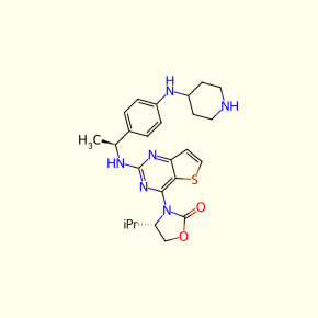 CC(C)[C@H]1COC(=O)N1c1nc(N[C@@H](C)c2ccc(NC3CCNCC3)cc2)nc2ccsc12